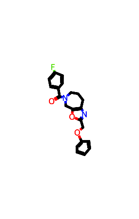 O=C(c1ccc(F)cc1)N1CCCc2nc(COc3ccccc3)oc2C1